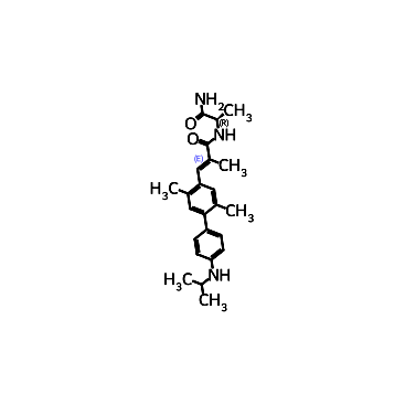 C/C(=C\c1cc(C)c(-c2ccc(NC(C)C)cc2)cc1C)C(=O)N[C@H](C)C(N)=O